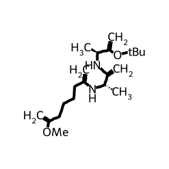 C=C(CCCCC(=C)OC)N[C@@H](C)C(=C)N[C@@H](C)C(=C)OC(C)(C)C